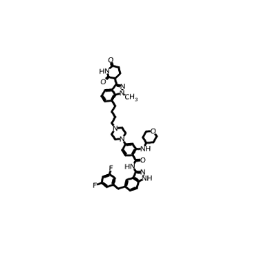 Cn1nc(C2CCC(=O)NC2=O)c2cccc(CCCCN3CCN(c4ccc(C(=O)Nc5n[nH]c6ccc(Cc7cc(F)cc(F)c7)cc56)c(NC5CCOCC5)c4)CC3)c21